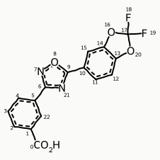 O=C(O)c1cccc(-c2noc(-c3ccc4c(c3)OC(F)(F)O4)n2)c1